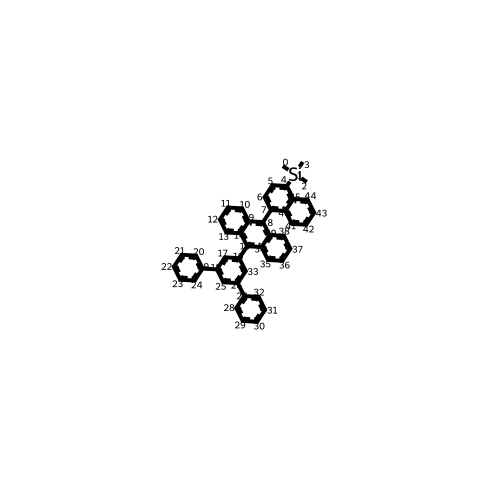 C[Si](C)(C)c1ccc(-c2c3ccccc3c(-c3cc(-c4ccccc4)cc(-c4ccccc4)c3)c3ccccc23)c2ccccc12